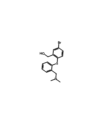 CN(C)Cc1ccccc1Sc1ccc(Br)cc1CO